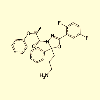 C[C@H](Oc1ccccc1)C(=O)N1N=C(c2cc(F)ccc2F)OC1(CCCN)c1ccccc1